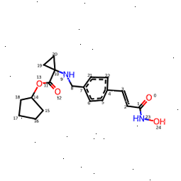 O=C(C=Cc1ccc(CNC2(C(=O)OC3CCCC3)CC2)cc1)NO